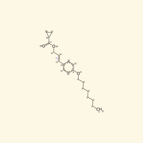 CCCCCCCCOc1ccc(/C=C/COC(=O)C2CC2)cc1